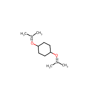 C[SiH](C)OC1CCC(O[SiH](C)C)CC1